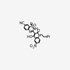 CC(C)CCn1c(=O)c(C2=Nc3ccc(C#N)cc3S(=O)(=O)N2)c(O)c2cc([N+](=O)[O-])ccc21